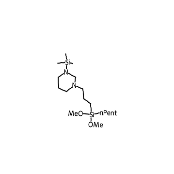 CCCCC[Si](CCCN1CCCN([Si](C)(C)C)C1)(OC)OC